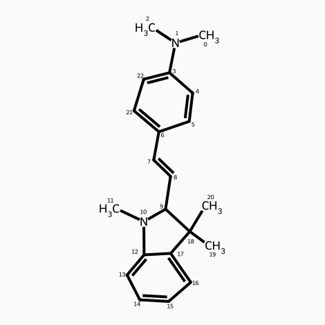 CN(C)c1ccc(C=CC2N(C)c3ccccc3C2(C)C)cc1